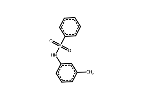 [CH2]c1cccc(NS(=O)(=O)c2ccccc2)c1